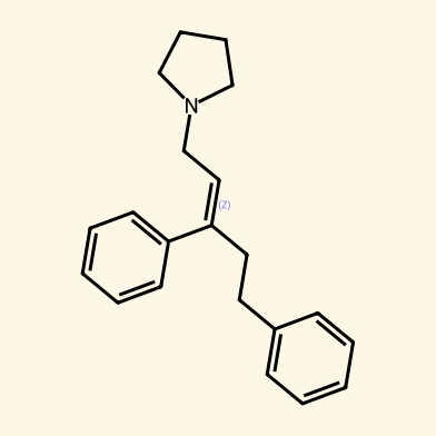 C(/CN1CCCC1)=C(\CCc1ccccc1)c1ccccc1